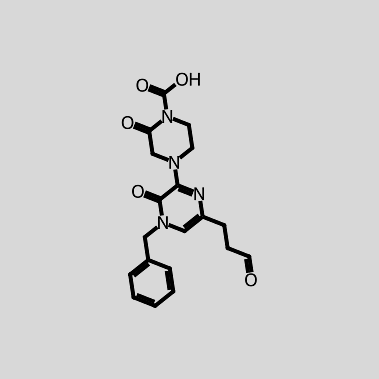 O=CCCc1cn(Cc2ccccc2)c(=O)c(N2CCN(C(=O)O)C(=O)C2)n1